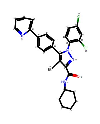 CCc1c(C(=O)NC2CCCCC2)nn(-c2ccc(Cl)cc2Cl)c1-c1ccc(-c2ccccn2)cc1